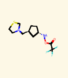 O=C(ON[C@H]1CC[C@H](CN2CCSC2)C1)C(F)(F)F